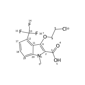 Cn1c(C(=O)O)c(OCCCl)c2c(C(F)(F)F)cccc21